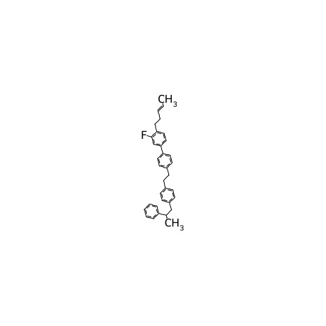 C/C=C/CCc1ccc(-c2ccc(CCc3ccc(C[C@@H](C)c4ccccc4)cc3)cc2)cc1F